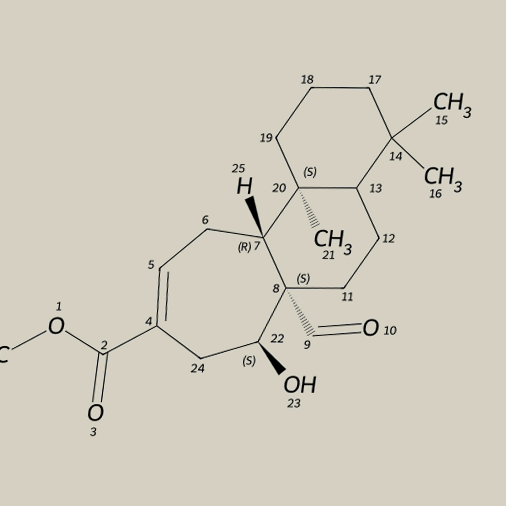 COC(=O)C1=CC[C@H]2[C@@](C=O)(CCC3C(C)(C)CCC[C@@]32C)[C@@H](O)C1